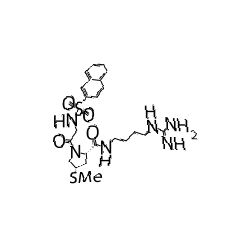 CS[C@H]1C[C@@H](C(=O)NCCCCNC(=N)N)N(C(=O)CNS(=O)(=O)c2ccc3ccccc3c2)C1